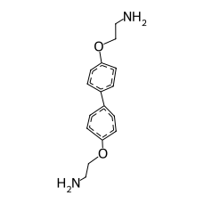 NCCOc1ccc(-c2ccc(OCCN)cc2)cc1